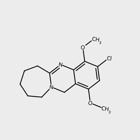 COc1cc(Cl)c(OC)c2c1CN1CCCCCC1=N2